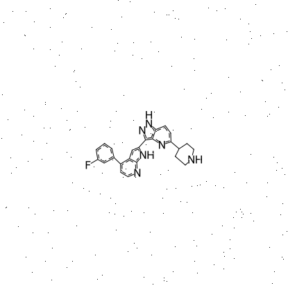 Fc1cccc(-c2ccnc3[nH]c(-c4n[nH]c5ccc(C6CCNCC6)nc45)cc23)c1